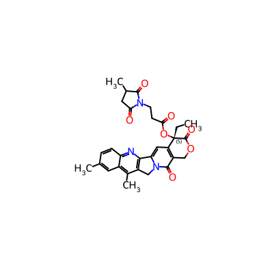 CC[C@@]1(OC(=O)CCN2C(=O)CC(C)C2=O)C(=O)OCc2c1cc1n(c2=O)Cc2c-1nc1ccc(C)cc1c2C